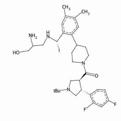 Cc1cc(C2CCN(C(=O)[C@@H]3CN(C(C)(C)C)C[C@H]3c3ccc(F)cc3F)CC2)c([C@H](I)NCC(N)CO)cc1C